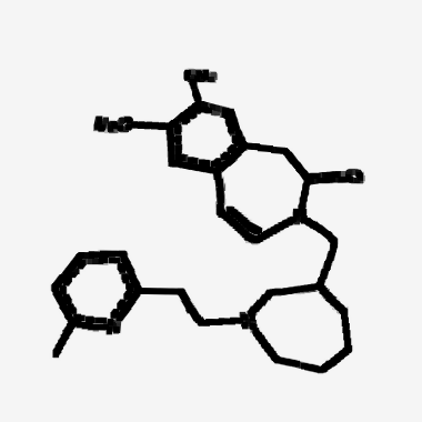 COc1cc2c(cc1OC)CC(=O)N(CC1CCCCN(CCc3cccc(C)n3)C1)C=C2